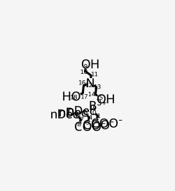 CCCCCCCCCCCC(=O)[O-].CCCCCCCCCCCC(=O)[O-].CCCCCCCCCCCC(=O)[O-].OCCN(CCO)CCO.[B+3]